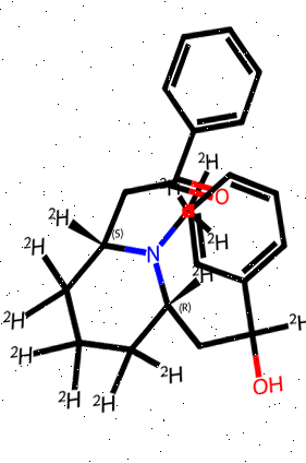 [2H]C(O)(C[C@@]1([2H])N(C([2H])([2H])[2H])[C@@]([2H])(CC(=O)c2ccccc2)C([2H])([2H])C([2H])([2H])C1([2H])[2H])c1ccccc1